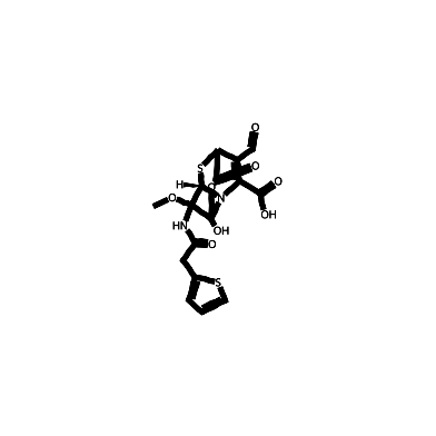 COC1(NC(=O)Cc2cccs2)[C@@H]2SC3C(=O)OC1(O)N2C(C(=O)O)=C3C=O